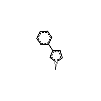 Cn1[c]cc(-c2ccccc2)c1